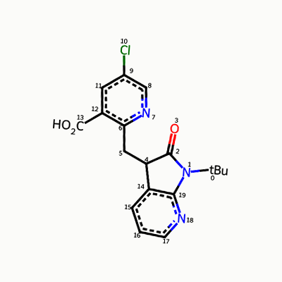 CC(C)(C)N1C(=O)C(Cc2ncc(Cl)cc2C(=O)O)c2cccnc21